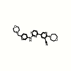 N#Cc1cc(-c2ccnc(Nc3ccc(CN4CCOCC4)nc3)n2)cnc1N1CCCOCC1